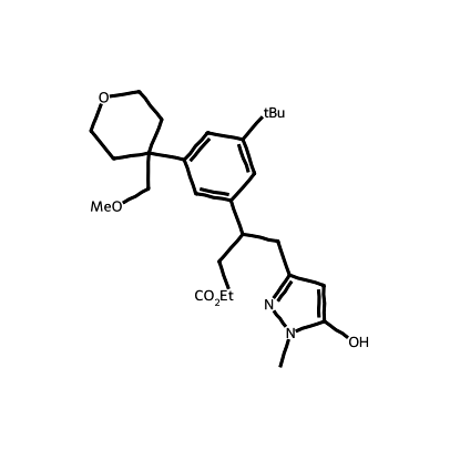 CCOC(=O)CC(Cc1cc(O)n(C)n1)c1cc(C(C)(C)C)cc(C2(COC)CCOCC2)c1